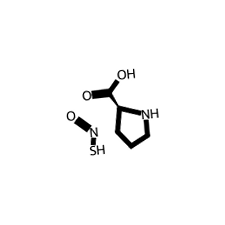 O=C(O)[C@@H]1CCCN1.O=NS